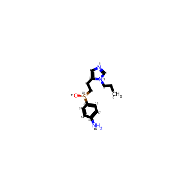 CCCn1cncc1CC[S@+]([O-])c1ccc(N)cc1